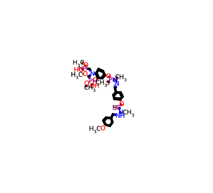 COC1C=CC(CNN(C)[PH](=S)Oc2ccc(/C=N/N(C)[PH](=S)Oc3ccc(N(C[PH](O)(OC)OC)C[PH](O)(OC)OC)cc3)cc2)CC1